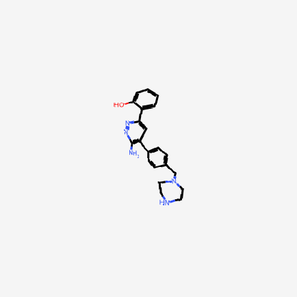 Nc1nnc(-c2ccccc2O)cc1-c1ccc(CN2CCNCC2)cc1